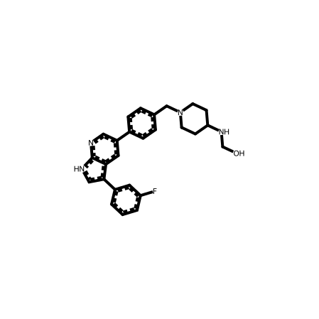 OCNC1CCN(Cc2ccc(-c3cnc4[nH]cc(-c5cccc(F)c5)c4c3)cc2)CC1